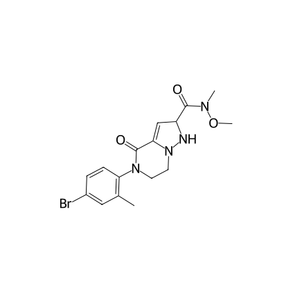 CON(C)C(=O)C1C=C2C(=O)N(c3ccc(Br)cc3C)CCN2N1